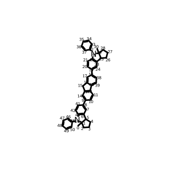 CC12CCCC1c1cc(-c3ccc4c(c3)Cc3cc(-c5ccc6c(c5)C5CCCC5(C)N6c5ccccc5)ccc3-4)ccc1N2c1ccccc1